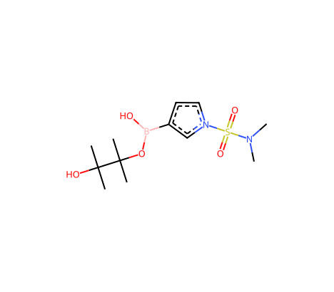 CN(C)S(=O)(=O)n1ccc(B(O)OC(C)(C)C(C)(C)O)c1